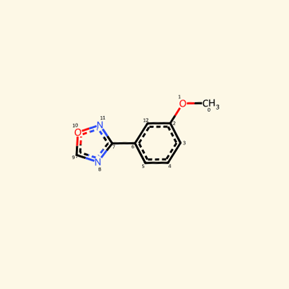 COc1cccc(-c2n[c]on2)c1